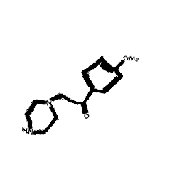 COc1ccc(C(=O)CN2CCNCC2)cc1